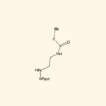 CCCCCNCCNC(=O)OC(C)(C)C